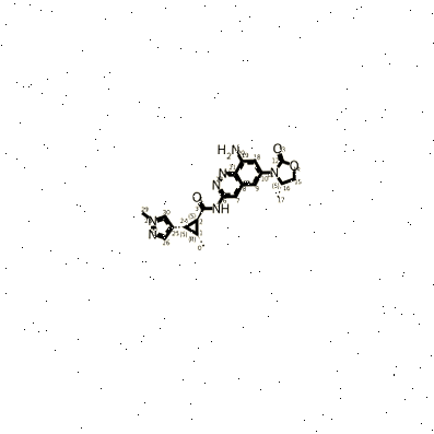 C[C@H]1[C@H](C(=O)Nc2cc3cc(N4C(=O)OC[C@@H]4C)cc(N)c3nn2)[C@H]1c1cnn(C)c1